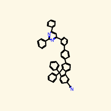 N#Cc1ccc2c(c1)-c1ccc(-c3ccc(-c4cccc(-c5cc(-c6ccccc6)nc(-c6ccccc6)n5)c4)cc3)cc1C2(c1ccccc1)c1ccccc1